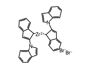 C1=C(n2ccc3ccccc32)[CH]([Zr+2][CH]2C(n3ccc4ccccc43)=Cc3ccccc32)c2ccccc21.[Br-].[Br-]